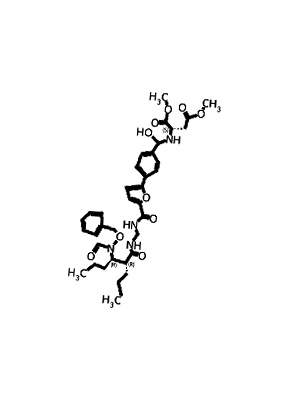 CCCC[C@@H](C(=O)NCNC(=O)c1ccc(-c2ccc(C(O)N[C@@H](CC(=O)OC)C(=O)OC)cc2)o1)[C@@H](CCC)N(C=O)OCc1ccccc1